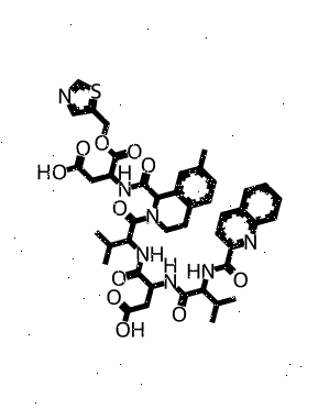 Cc1ccc2c(c1)C(C(=O)NC(CC(=O)O)C(=O)OCc1cncs1)N(C(=O)C(NC(=O)C(CC(=O)O)NC(=O)C(NC(=O)c1ccc3ccccc3n1)C(C)C)C(C)C)CC2